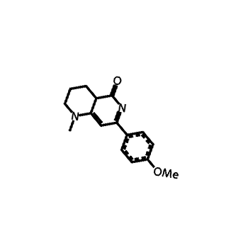 COc1ccc(C2=NC(=O)C3CCCN(C)C3=C2)cc1